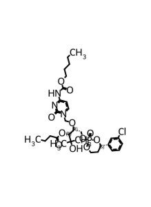 CCCCCOC(=O)Nc1ccn(CO[C@H](COP2(=O)OCC[C@@H](c3cccc(Cl)c3)O2)[C@@H](OC(=O)CCC)C(C)(C)O)c(=O)n1